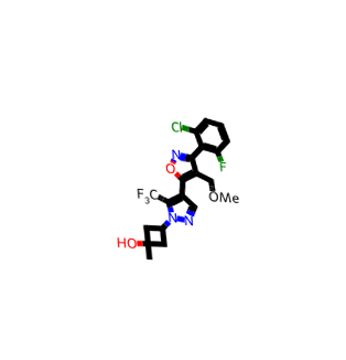 COCc1c(-c2c(F)cccc2Cl)noc1-c1cnn(C2CC(C)(O)C2)c1C(F)(F)F